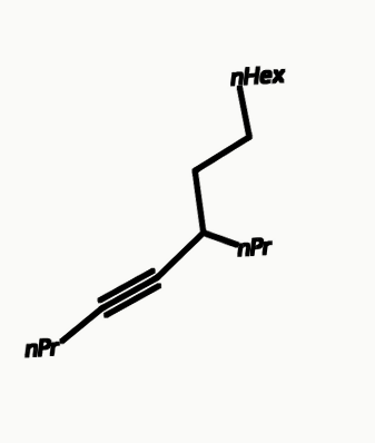 [CH2]CCC#CC(CCC)CCCCCCC[CH2]